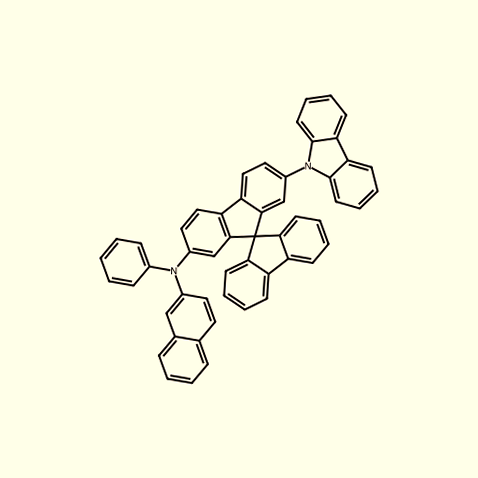 c1ccc(N(c2ccc3c(c2)C2(c4ccccc4-c4ccccc42)c2cc(-n4c5ccccc5c5ccccc54)ccc2-3)c2ccc3ccccc3c2)cc1